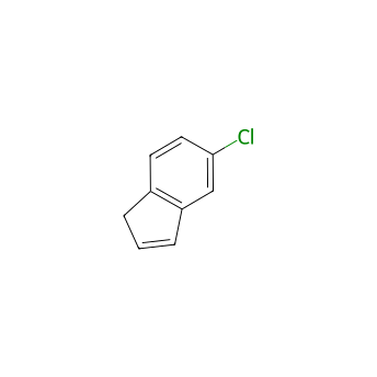 Clc1ccc2c(c1)C=CC2